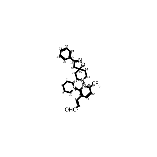 O=C/C=C/C1=C(N2CCCCC2)N(N2CCC3(CC2)CC(c2ccccc2)=NO3)C(C(F)(F)F)C=C1